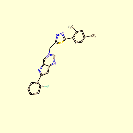 Fc1ccccc1-c1cc2ncn(Cc3nnc(-c4ccc(C(F)(F)F)cc4C(F)(F)F)s3)cc-2n1